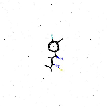 C/C(C(=N)c1ccc(F)c(C)c1)=C(/NS)C(C)C